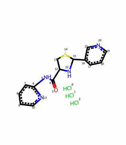 Cl.Cl.Cl.O=C(Nc1ccccn1)C1CSC(c2cccnc2)N1